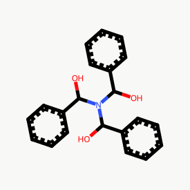 OC(c1ccccc1)N(C(O)c1ccccc1)C(O)c1ccccc1